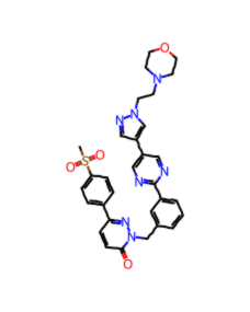 CS(=O)(=O)c1ccc(-c2ccc(=O)n(Cc3cccc(-c4ncc(-c5cnn(CCN6CCOCC6)c5)cn4)c3)n2)cc1